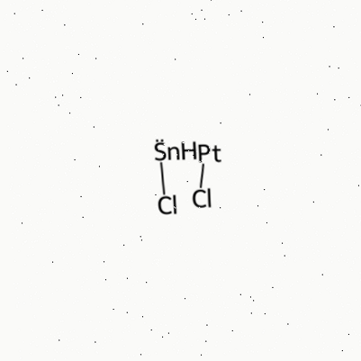 [Cl][Pt].[Cl][SnH]